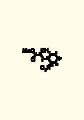 COC(=O)/C(O)=C/c1ccncc1[N+](=O)[O-]